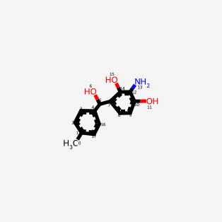 Cc1ccc(C(O)c2ccc(O)c(N)c2O)cc1